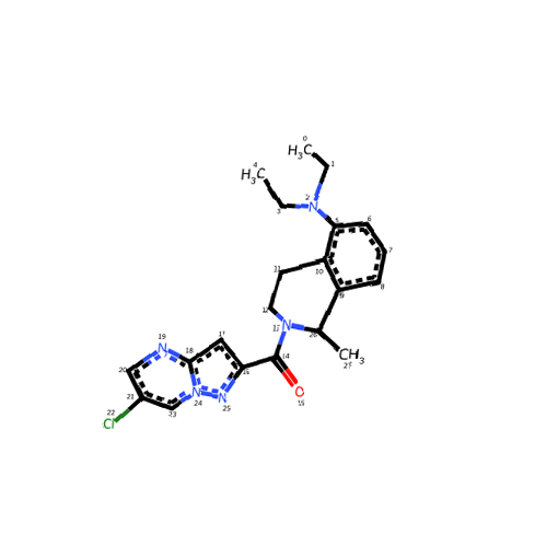 CCN(CC)c1cccc2c1CCN(C(=O)c1cc3ncc(Cl)cn3n1)C2C